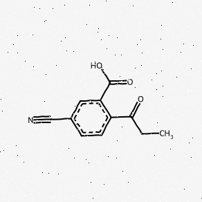 CCC(=O)c1ccc(C#N)cc1C(=O)O